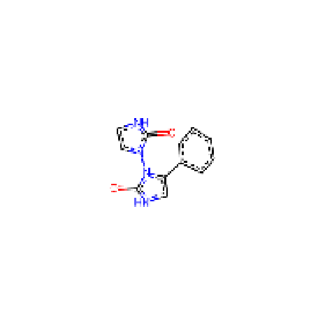 O=c1[nH]ccn1-n1c(-c2ccccc2)c[nH]c1=O